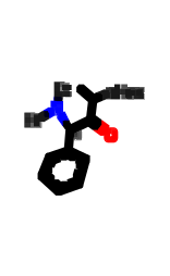 CCCCCCC(C)C(=O)[C@@H](c1ccccc1)N(CC)CC